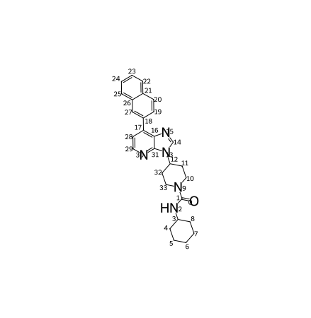 O=C(NC1CCCCC1)N1CCC(n2cnc3c(-c4ccc5ccccc5c4)ccnc32)CC1